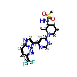 CC1C(NS(C)(=O)=O)CCCN1c1cc(-c2cnc3ccc(C(F)F)nn23)ncn1